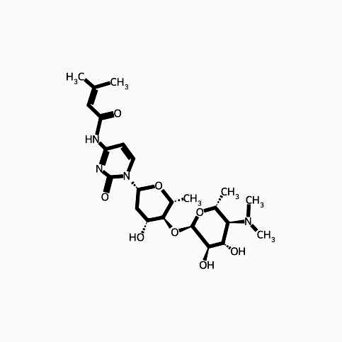 CC(C)=CC(=O)Nc1ccn([C@H]2C[C@@H](O)[C@H](O[C@H]3O[C@H](C)[C@@H](N(C)C)[C@H](O)[C@H]3O)[C@@H](C)O2)c(=O)n1